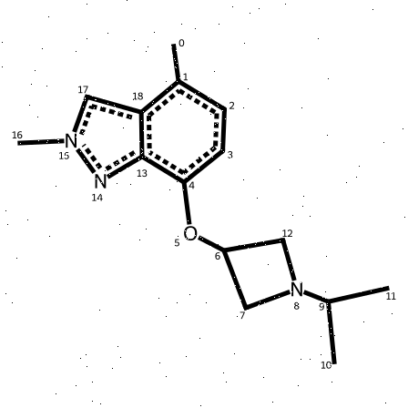 Cc1ccc(OC2CN(C(C)C)C2)c2nn(C)cc12